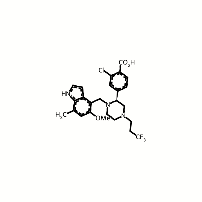 COc1cc(C)c2[nH]ccc2c1CN1CCN(CCC(F)(F)F)C[C@@H]1c1ccc(C(=O)O)c(Cl)c1